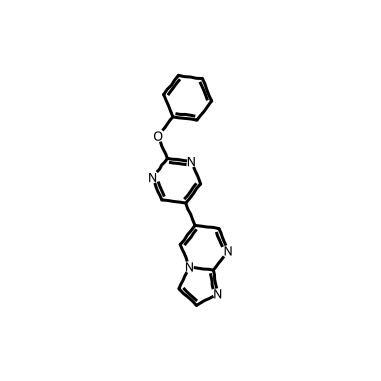 c1ccc(Oc2ncc(-c3cnc4nccn4c3)cn2)cc1